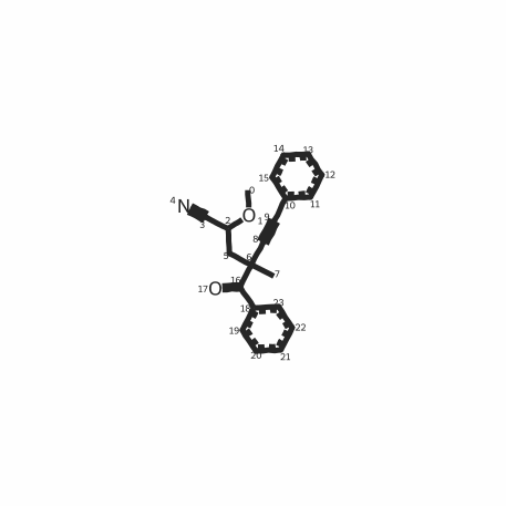 COC(C#N)CC(C)(C#Cc1ccccc1)C(=O)c1ccccc1